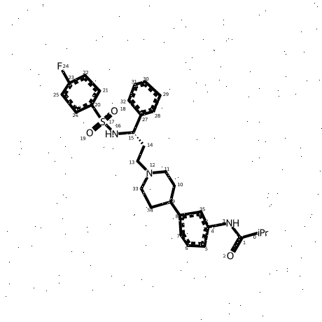 CC(C)C(=O)Nc1cccc(C2CCN(CC[C@H](NS(=O)(=O)c3ccc(F)cc3)c3ccccc3)CC2)c1